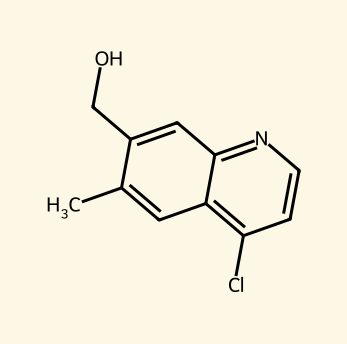 Cc1cc2c(Cl)ccnc2cc1CO